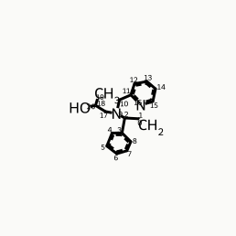 C=CC(c1ccccc1)N(Cc1ccccn1)CC(C)O